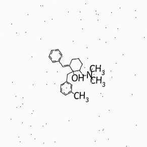 Cc1cccc(CC2(O)C(=Cc3ccccc3)CCCC2CN(C)C)c1